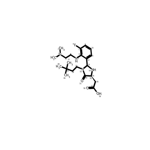 CN(C)CCNc1c(F)cccc1C1N[C@@H](CC(=O)O)C(=O)N1CCC(C)(C)C